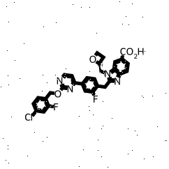 O=C(O)c1ccc2nc(Cc3ccc(-c4ccnc(OCc5ccc(Cl)cc5F)n4)cc3F)n(C[C@@H]3CCO3)c2c1